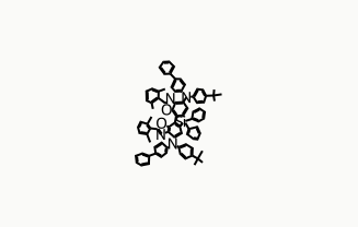 Cc1cccc(C)c1-c1nc2c(N(c3ccc(-c4ccccc4)cc3)c3ccc(C(C)(C)C)cc3)cc3c(c2o1)-c1c(cc(N(c2ccc(-c4ccccc4)cc2)c2ccc(C(C)(C)C)cc2)c2nc(-c4c(C)cccc4C)oc12)[Si]3(c1ccccc1)c1ccccc1